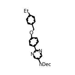 CCCCCCCCCCc1cnc(-c2ccc(OCc3ccc(CC)cc3)cc2)nc1